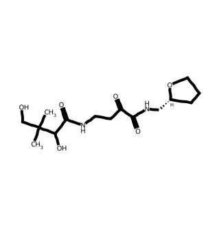 CC(C)(CO)C(O)C(=O)NCCC(=O)C(=O)NC[C@H]1CCCO1